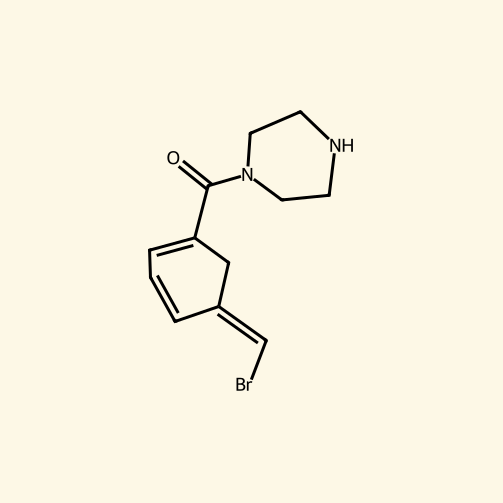 O=C(C1=CC=CC(=CBr)C1)N1CCNCC1